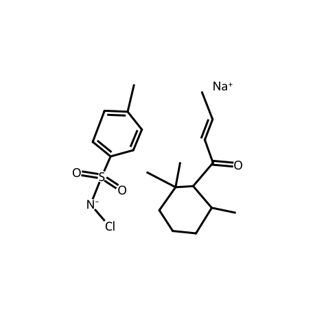 C/C=C/C(=O)C1C(C)CCCC1(C)C.Cc1ccc(S(=O)(=O)[N-]Cl)cc1.[Na+]